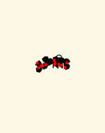 c1cc(-n2c3ccccc3c3ccccc32)cc(-n2c3ccccc3c3cc(-c4ccc5c(c4)C4(c6ccccc6O5)c5cccnc5-c5ncc(-n6c7ccccc7c7ccccc76)cc54)ccc32)c1